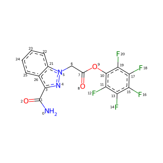 NC(=O)c1nn(CC(=O)Oc2c(F)c(F)c(F)c(F)c2F)c2ccccc12